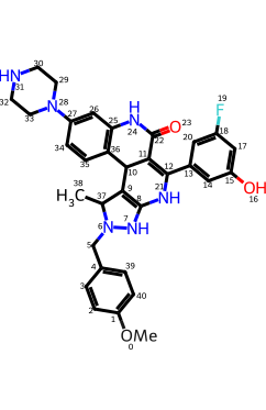 COc1ccc(CN2NC3=C(C4C(=C(c5cc(O)cc(F)c5)N3)C(=O)Nc3cc(N5CCNCC5)ccc34)C2C)cc1